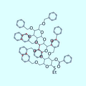 CCSC1OC(COCc2ccccc2)C(OC2OC(COCc3ccccc3)C(OC3OC(COCc4ccccc4)C(OCc4ccccc4)C(OCc4ccccc4)C3OCc3ccccc3)C(OCc3ccccc3)C2OCc2ccccc2)C(OCc2ccccc2)C1OC(=O)c1ccccc1